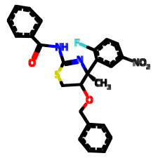 C[C@]1(c2cc([N+](=O)[O-])ccc2F)N=C(NC(=O)c2ccccc2)SCC1OCc1ccccc1